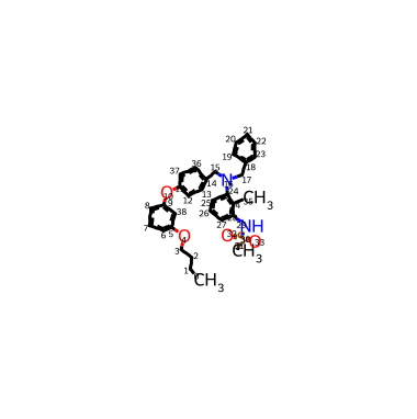 CCCCOc1cccc(Oc2ccc(CN(Cc3ccccc3)c3cccc(NS(C)(=O)=O)c3C)cc2)c1